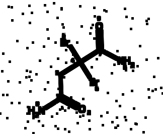 NC(=O)CC(Br)(Br)C(N)=O